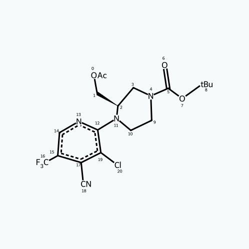 CC(=O)OC[C@H]1CN(C(=O)OC(C)(C)C)CCN1c1ncc(C(F)(F)F)c(C#N)c1Cl